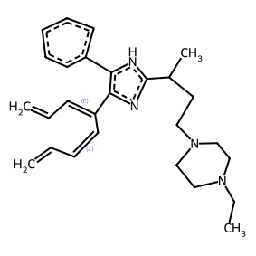 C=C/C=C\C(=C/C=C)c1nc(C(C)CCN2CCN(CC)CC2)[nH]c1-c1ccccc1